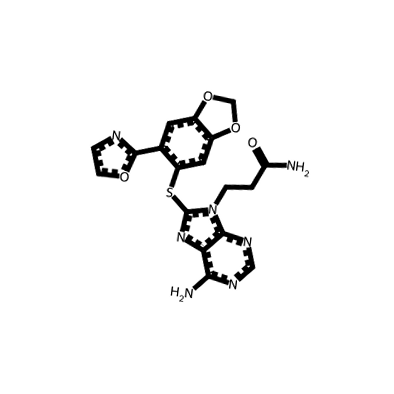 NC(=O)CCn1c(Sc2cc3c(cc2-c2ncco2)OCO3)nc2c(N)ncnc21